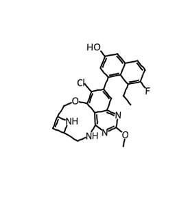 CCc1c(F)ccc2cc(O)cc(-c3cc4nc(OC)nc5c4c(c3Cl)OCC3=CC(CN5)N3)c12